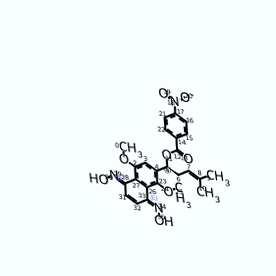 COc1cc([C@H](CC=C(C)C)OC(=O)c2ccc([N+](=O)[O-])cc2)c(OC)c2c1/C(=N/O)C=C/C2=N\O